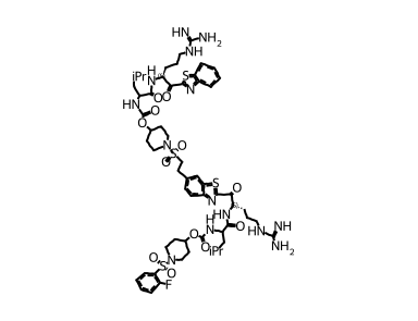 CC(C)CC(NC(=O)OC1CCN(S(=O)(=O)CCc2ccc3nc(C(=O)[C@H](CCCNC(=N)N)NC(=O)C(CC(C)C)NC(=O)OC4CCN(S(=O)(=O)c5ccccc5F)CC4)sc3c2)CC1)C(=O)N[C@@H](CCCNC(=N)N)C(=O)c1nc2ccccc2s1